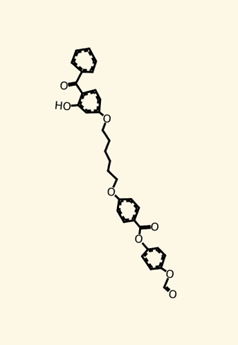 O=COc1ccc(OC(=O)c2ccc(OCCCCCCOc3ccc(C(=O)c4ccccc4)c(O)c3)cc2)cc1